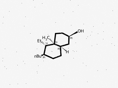 CCCC[C@@H]1CC[C@@H]2C[C@H](O)CC[C@]2(C)[C@H]1CC